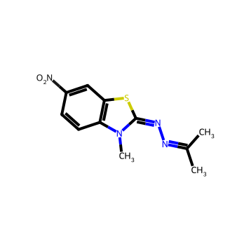 CC(C)=N/N=c1/sc2cc([N+](=O)[O-])ccc2n1C